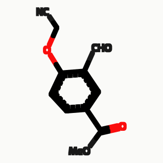 COC(=O)c1ccc(OCC#N)c(C=O)c1